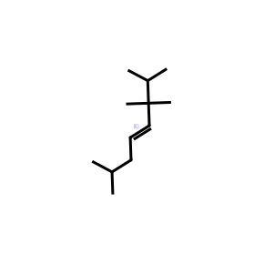 CC(C)C/C=C/C(C)(C)C(C)C